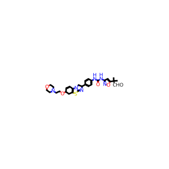 CC(C)(C=O)c1cc(NC(=O)Nc2ccc(C3CN4C(=N3)SC3=C4C=CC(OCCN4CCOCC4)C3)cc2)no1